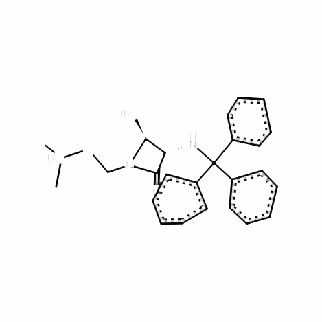 C[SiH](C)OCN1C(=O)[C@@H](NC(c2ccccc2)(c2ccccc2)c2ccccc2)[C@@H]1C(C)(C)C